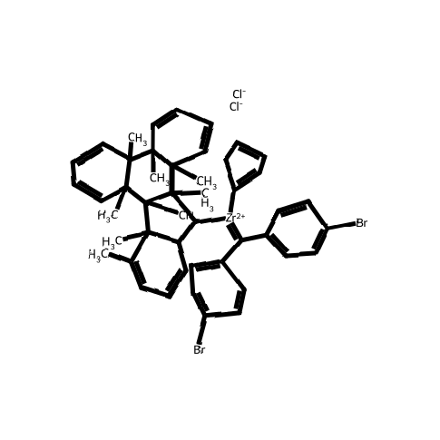 CC1=CC=CC2[CH]([Zr+2]([C]3=CC=CC3)=[C](c3ccc(Br)cc3)c3ccc(Br)cc3)C3(C)C4(C)C=CC=CC4(C)C4(C)C=CC=CC4(C)C3(C)C12C.[Cl-].[Cl-]